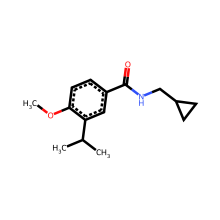 COc1ccc(C(=O)NCC2CC2)cc1C(C)C